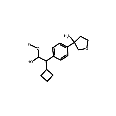 CCOC(O)C(c1ccc(C2(N)CCOC2)cc1)C1CCC1